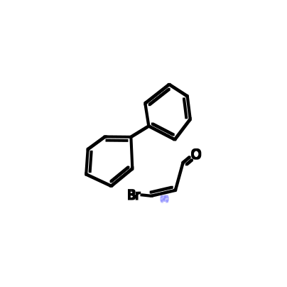 O=C/C=C\Br.c1ccc(-c2ccccc2)cc1